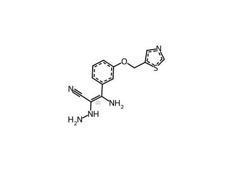 N#C/C(NN)=C(/N)c1cccc(OCc2cncs2)c1